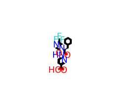 O=C(O)c1ccc(NC(=O)[C@H](CC2CCCCC2)n2cc(C(F)(F)F)ncc2=O)nc1